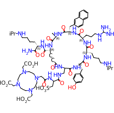 CC(C)NCCCC[C@H](NC(=O)[C@H]1CCC(=O)NC(CNC(=O)C(CS(=O)(=O)O)NC(=O)CN2CCN(CC(=O)O)CCN(CC(=O)O)CCN(CC(=O)O)CC2)C(=O)N[C@@H](Cc2ccc(O)cc2)C(=O)N[C@@H](CCCCNC(C)C)C(=O)N[C@H](CCCNC(N)N)C(=O)N[C@@H](Cc2ccc3ccccc3c2)C(=O)N[C@H](C)C(=O)N1)C(N)=O